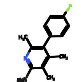 CNc1nc(C)c(-c2ccc(F)cc2)c(C)c1C